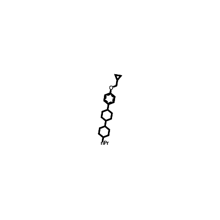 CCCC1CCC(C2CCC(c3ccc(OCC4CC4)cc3)CC2)CC1